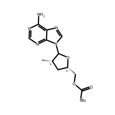 C[C@H]1C[C@@H](COC(=O)C(C)(C)C)OC1n1cnc2c(N)ncnc21